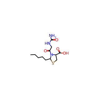 CCCCCC1SCC(C(=O)O)N1C(=O)CNC(N)=O